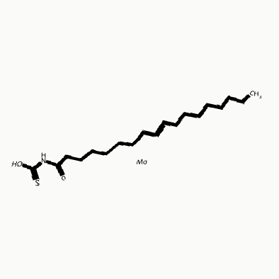 CCCCCCCCC=CCCCCCCCC(=O)NC(O)=S.[Mo]